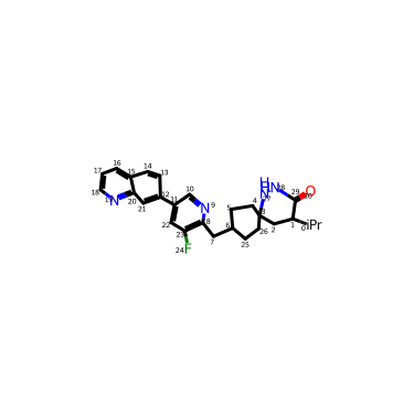 CC(C)C1CC2(CCC(Cc3ncc(-c4ccc5cccnc5c4)cc3F)CC2)NNC1=O